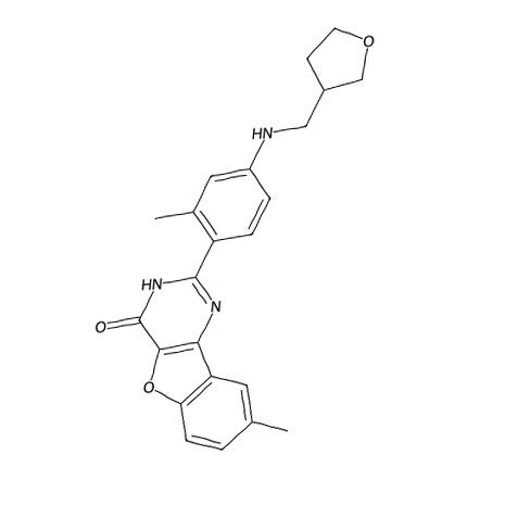 Cc1ccc2oc3c(=O)[nH]c(-c4ccc(NCC5CCOC5)cc4C)nc3c2c1